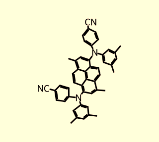 Cc1cc(C)cc(N(c2ccc(C#N)cc2)c2cc(C)c3ccc4c(N(c5ccc(C#N)cc5)c5cc(C)cc(C)c5)cc(C)c5ccc2c3c54)c1